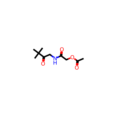 CC(=O)OCC(=O)NCC(=O)C(C)(C)C